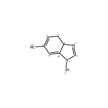 CC(C)N1C=NC2CC=C(C#N)C=C21